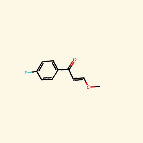 COC=CC(=O)c1ccc(F)cc1